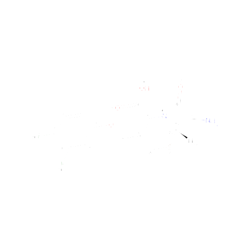 NC1C(=O)N2C(C(=O)O)=C(COc3ccc(F)c(F)c3)CS[C@@H]12